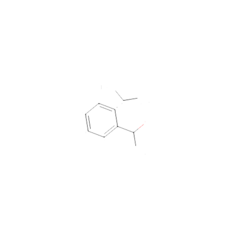 O=C(O)C(O)c1ccccc1.O=C(O)CC(=O)O